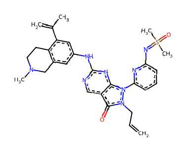 C=CCn1c(=O)c2cnc(Nc3cc4c(c(C(=C)C)c3)CCN(C)C4)nc2n1-c1cccc(N=S(C)(C)=O)n1